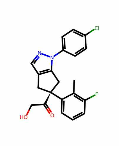 Cc1c(F)cccc1[C@]1(C(=O)CO)Cc2cnn(-c3ccc(Cl)cc3)c2C1